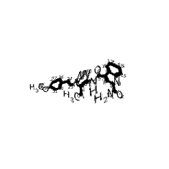 CCc1c(NC(=O)c2cc(C(N)=O)nc3ccccc23)nnn1CCc1ccc(OC)cc1